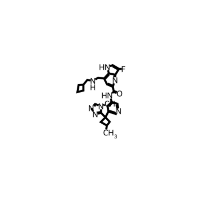 CC1CC(c2cncc(NC(=O)c3cc(CNCC4CCC4)c4[nH]cc(F)c4n3)c2)(c2nncn2C)C1